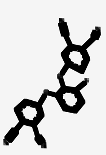 N#Cc1ccc(Oc2cccc(F)c2Oc2ccc(C#N)c(C#N)c2)cc1C#N